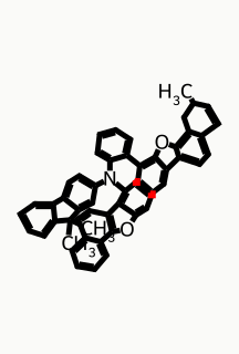 CC1C=Cc2ccc3c(oc4c(-c5ccccc5N(c5ccc6c(c5)C(C)(C)c5ccccc5-6)c5cccc6oc7c8ccccc8ccc7c56)cccc43)c2C1